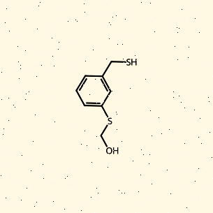 OCSc1cccc(CS)c1